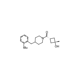 CC(C)(C)c1ccccc1CC1CCN(C(=O)[C@H]2C[C@@](C)(O)C2)CC1